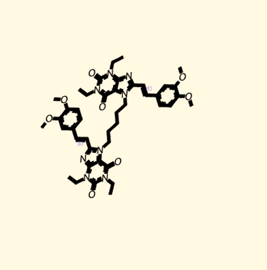 CCn1c(=O)c2c(nc(/C=C/c3ccc(OC)c(OC)c3)n2CCCCCn2c(/C=C/c3ccc(OC)c(OC)c3)nc3c2c(=O)n(CC)c(=O)n3CC)n(CC)c1=O